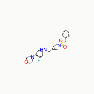 O=S(=O)(Cc1ccccc1)N1CC2C(CNc3ccc(N4CCOCC4)c(F)c3)C2C1